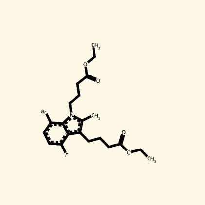 CCOC(=O)CCCc1c(C)n(CCCC(=O)OCC)c2c(Br)ccc(F)c12